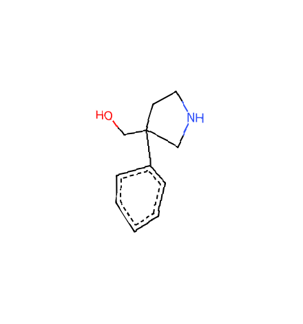 OCC1(c2ccccc2)CCNC1